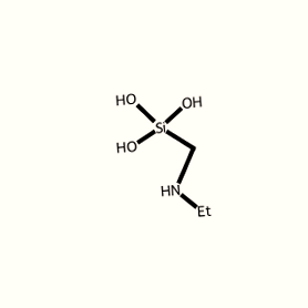 CCNC[Si](O)(O)O